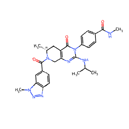 CNC(=O)c1ccc(-n2c(NC(C)C)nc3c(c2=O)C[C@@H](C)N(C(=O)c2ccc4nnn(C)c4c2)C3)cc1